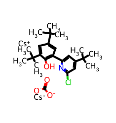 CC(C)(C)c1cc(Cl)nc(-c2cc(C(C)(C)C)cc(C(C)(C)C)c2O)c1.O=C([O-])[O-].[Cs+].[Cs+]